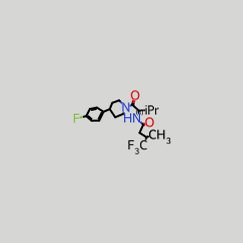 CC(C)[C@@H](NC(=O)CC(C)C(F)(F)F)C(=O)N1CCC(c2ccc(F)cc2)CC1